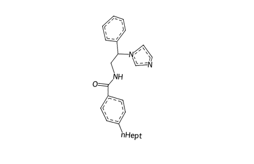 CCCCCCCc1ccc(C(=O)NCC(c2ccccc2)n2ccnc2)cc1